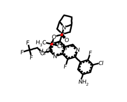 CC(C)(C)OC(=O)N1C2CCC1CN(c1nc(OCC(F)(F)F)nc3c(F)c(-c4cc(N)cc(Cl)c4F)ncc13)C2